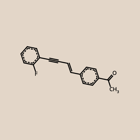 CC(=O)c1ccc(/C=C/C#Cc2ccccc2F)cc1